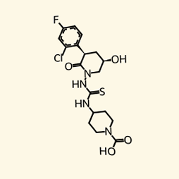 O=C(O)N1CCC(NC(=S)NN2C[C@H](O)C[C@H](c3ccc(F)cc3Cl)C2=O)CC1